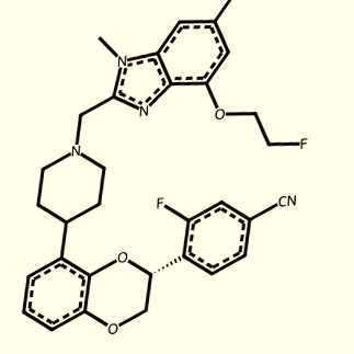 Cn1c(CN2CCC(c3cccc4c3O[C@H](c3ccc(C#N)cc3F)CO4)CC2)nc2c(OCCF)cc(C(=O)O)cc21